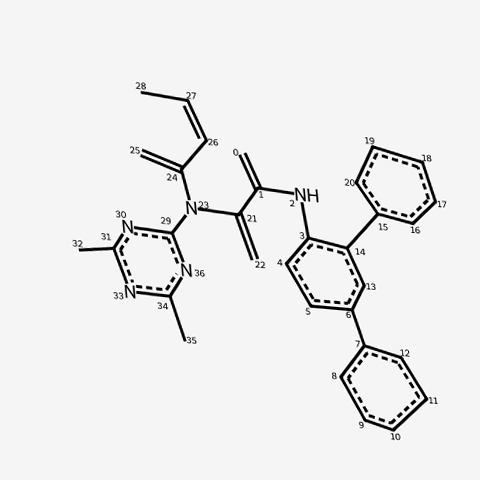 C=C(Nc1ccc(-c2ccccc2)cc1-c1ccccc1)C(=C)N(C(=C)/C=C\C)c1nc(C)nc(C)n1